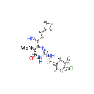 CNc1c(C(=N)CC=C2CCC2)nc(NCc2ccc(Cl)c(Cl)c2)[nH]c1=O